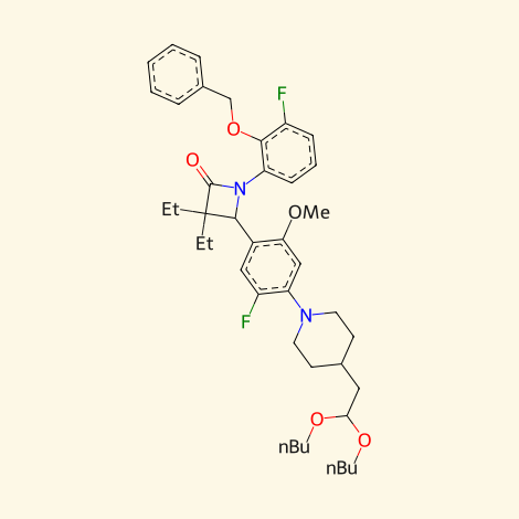 CCCCOC(CC1CCN(c2cc(OC)c(C3N(c4cccc(F)c4OCc4ccccc4)C(=O)C3(CC)CC)cc2F)CC1)OCCCC